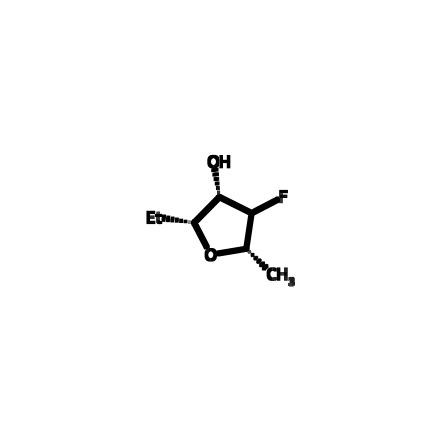 CC[C@H]1O[C@@H](C)C(F)[C@H]1O